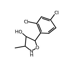 CC1NOC(c2ccc(Cl)cc2Cl)C1O